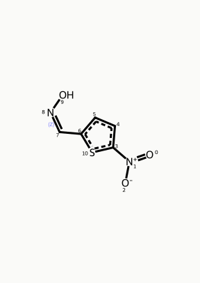 O=[N+]([O-])c1ccc(/C=N\O)s1